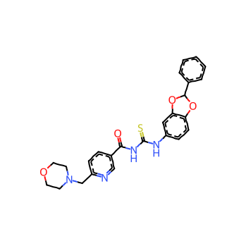 O=C(NC(=S)Nc1ccc2c(c1)OC(c1ccccc1)O2)c1ccc(CN2CCOCC2)nc1